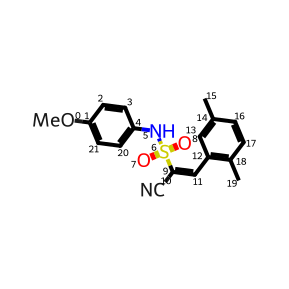 COc1ccc(NS(=O)(=O)/C(C#N)=C\c2cc(C)ccc2C)cc1